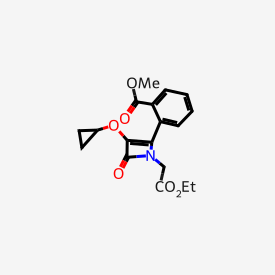 CCOC(=O)CN1C(=O)C(OC2CC2)=C1c1ccccc1C(=O)OC